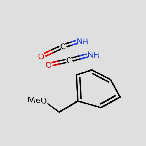 COCc1ccccc1.N=C=O.N=C=O